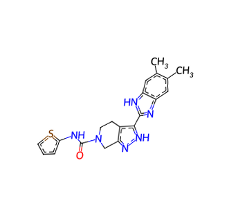 Cc1cc2nc(-c3[nH]nc4c3CCN(C(=O)Nc3cccs3)C4)[nH]c2cc1C